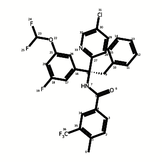 Cc1ccc(C(=O)N[C@@](Cc2ccccc2)(c2cc(F)cc(OC(F)F)c2)c2ccc(Cl)cn2)cc1C(F)(F)F